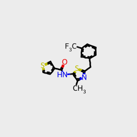 Cc1nc(Cc2cccc(C(F)(F)F)c2)sc1NC(=O)c1ccsc1